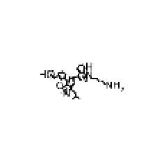 CC(C)Cc1nn(C)c(=O)c2c(-c3cccc(CO)c3)n(Cc3cnc(NCCCCCN)c4ccccc34)cc12